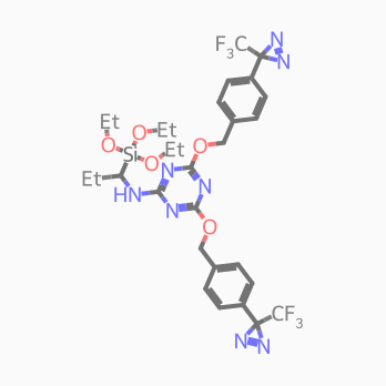 CCO[Si](OCC)(OCC)C(CC)Nc1nc(OCc2ccc(C3(C(F)(F)F)N=N3)cc2)nc(OCc2ccc(C3(C(F)(F)F)N=N3)cc2)n1